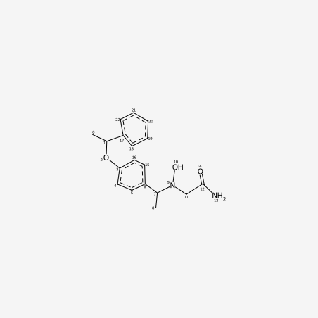 CC(Oc1ccc(C(C)N(O)CC(N)=O)cc1)c1ccccc1